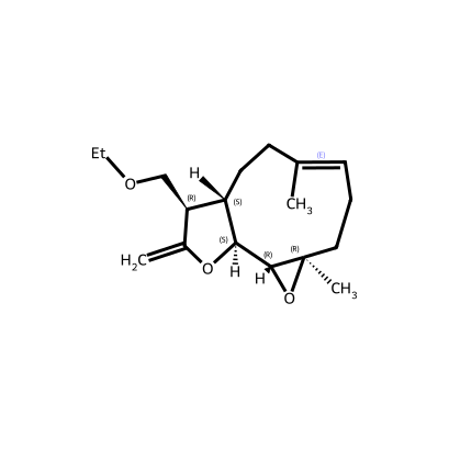 C=C1O[C@H]2[C@@H](CC/C(C)=C/CC[C@@]3(C)O[C@H]23)[C@@H]1COCC